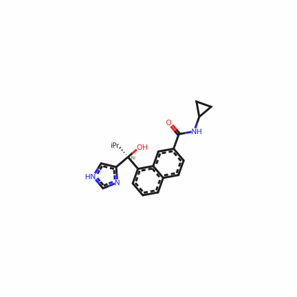 CC(C)[C@@](O)(c1c[nH]cn1)c1cccc2ccc(C(=O)NC3CC3)cc12